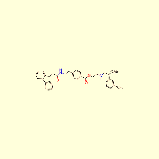 COC(CNCCOC(=O)c1ccc(CCNC(=O)CC2c3ccccc3-c3ccccc32)cc1)c1cccc(C(F)(F)F)c1